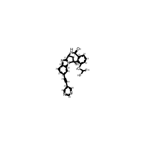 O=C1NC2C[C@H](c3c(OC(F)F)cccc31)n1c2nc2ccc(C#Cc3cncnc3)cc21